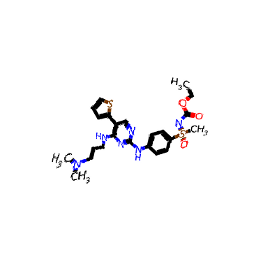 CCOC(=O)N=S(C)(=O)c1ccc(Nc2ncc(-c3cccs3)c(NCCCN(C)C)n2)cc1